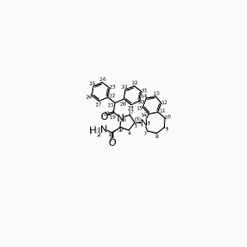 NC(=O)[C@@H]1C[C@H](N2CCCCc3ccccc32)CN1C(=O)C(c1ccccc1)c1ccccc1